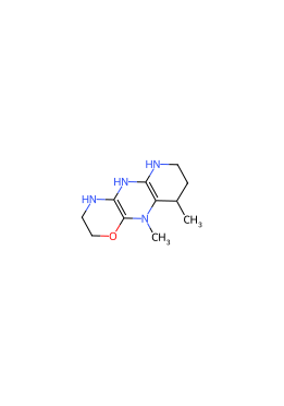 CC1CCNC2=C1N(C)C1=C(NCCO1)N2